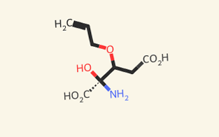 C=CCOC(CC(=O)O)[C@@](N)(O)C(=O)O